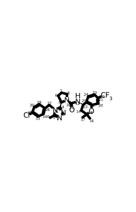 Cc1nnc([C@H]2CCCN2C(=O)N[C@H]2CC(C)(C)Oc3cc(C(F)(F)F)ccc32)n1Cc1ccc(Cl)cc1